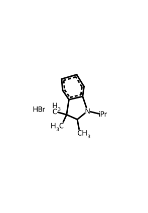 Br.CC(C)N1c2ccccc2C(C)(C)C1C